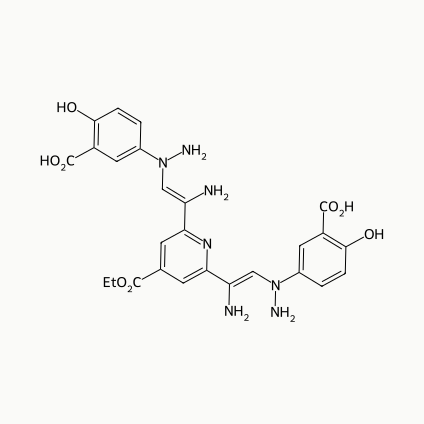 CCOC(=O)c1cc(/C(N)=C/N(N)c2ccc(O)c(C(=O)O)c2)nc(/C(N)=C/N(N)c2ccc(O)c(C(=O)O)c2)c1